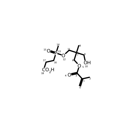 C=C(C)C(=O)OCC(C)(CO)COP(C)(=O)CCC(=O)O